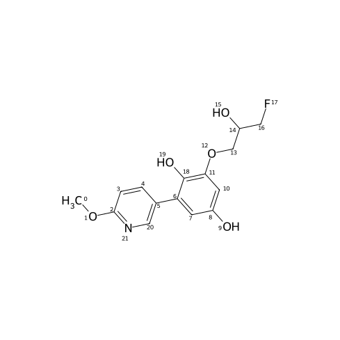 COc1ccc(-c2cc(O)cc(OCC(O)CF)c2O)cn1